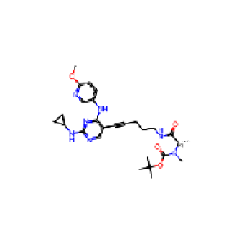 COc1ccc(Nc2nc(NC3CC3)ncc2C#CCCCNC(=O)[C@H](C)N(C)C(=O)OC(C)(C)C)cn1